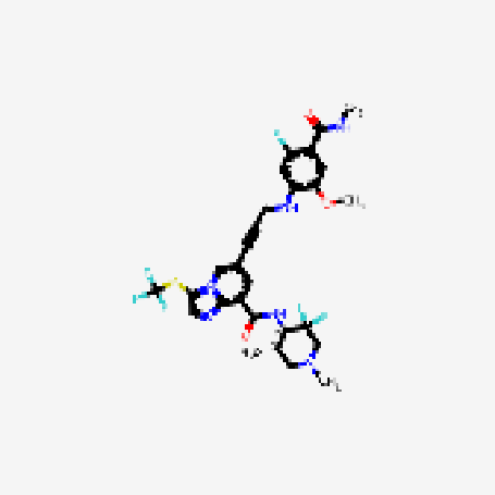 CNC(=O)c1cc(OC)c(NCC#Cc2cc(C(=O)N[C@@H]3[C@@H](C)CN(C)CC3(F)F)c3ncc(SC(F)(F)F)n3c2)cc1F